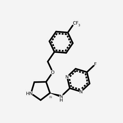 Fc1cnc(N[C@H]2CNCC2OCc2ccc(C(F)(F)F)cc2)nc1